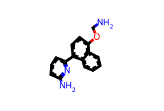 NCOc1ccc(-c2cccc(N)n2)c2ccccc12